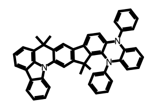 CC1(C)c2cc3c(cc2-c2ccc4c(c21)N(c1ccccc1)c1ccccc1N4c1ccccc1)C(C)(C)c1cccc2c4ccccc4n-3c12